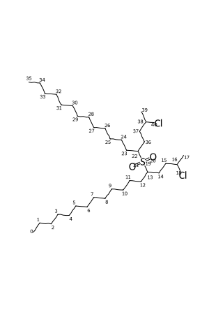 CCCCCCCCCCCCCC(CCC(C)Cl)S(=O)(=O)C(CCCCCCCCCCCCC)CCC(C)Cl